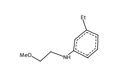 CCc1cccc(NCCOC)c1